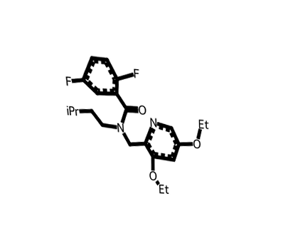 CCOc1cnc(CN(CCC(C)C)C(=O)c2cc(F)ccc2F)c(OCC)c1